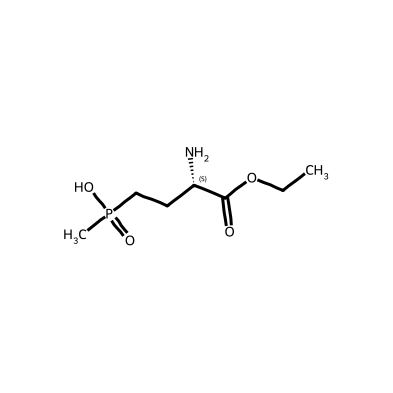 CCOC(=O)[C@@H](N)CCP(C)(=O)O